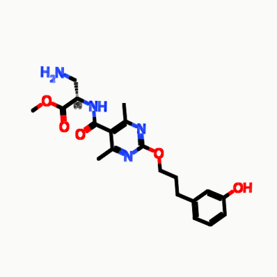 COC(=O)[C@H](CN)NC(=O)c1c(C)nc(OCCCc2cccc(O)c2)nc1C